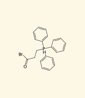 O=C(Br)CC[PH](c1ccccc1)(c1ccccc1)c1ccccc1